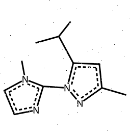 Cc1cc(C(C)C)n(-c2nccn2C)n1